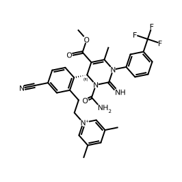 COC(=O)C1=C(C)N(c2cccc(C(F)(F)F)c2)C(=N)N(C(N)=O)[C@@H]1c1ccc(C#N)cc1CC[n+]1cc(C)cc(C)c1